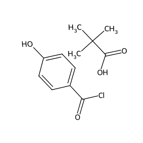 CC(C)(C)C(=O)O.O=C(Cl)c1ccc(O)cc1